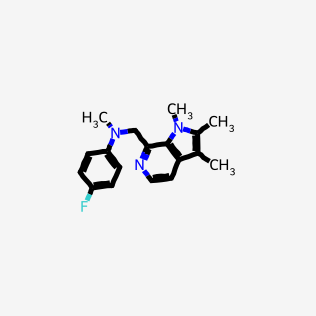 Cc1c(C)n(C)c2c(CN(C)c3ccc(F)cc3)nccc12